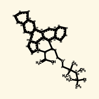 C=C(O)C1C(CCOCC(C)(C)[C@H](C)C(C)(C)CC)c2c3ccccc3cc3c4cc5ccccc5cc4n4cc[n+]1c4c23